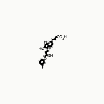 O=C(O)CCC[C@H]1CC[C@@H]2[C@@H](C=C[C@@H](O)COc3cccc(F)c3)[C@H](O)C[C@@H]2S1